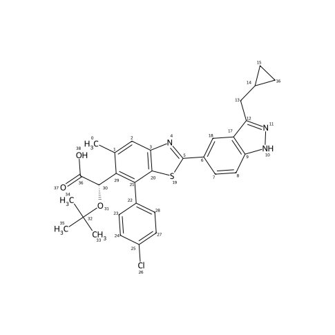 Cc1cc2nc(-c3ccc4[nH]nc(CC5CC5)c4c3)sc2c(-c2ccc(Cl)cc2)c1[C@H](OC(C)(C)C)C(=O)O